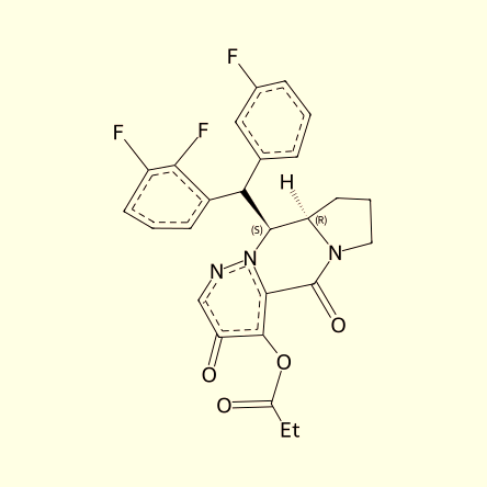 CCC(=O)Oc1c2n(ncc1=O)[C@@H](C(c1cccc(F)c1)c1cccc(F)c1F)[C@H]1CCCN1C2=O